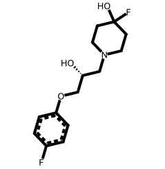 O[C@@H](COc1ccc(F)cc1)CN1CCC(O)(F)CC1